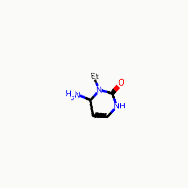 CCN1C(=O)NC=CC1N